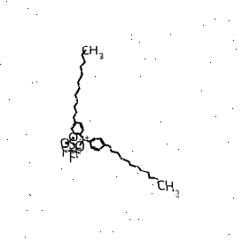 CCCCCCCCCCCCc1ccc([I+](OS(=O)(=O)C(F)(F)F)c2ccc(CCCCCCCCCCCC)cc2)cc1